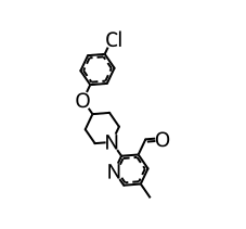 Cc1cnc(N2CCC(Oc3ccc(Cl)cc3)CC2)c(C=O)c1